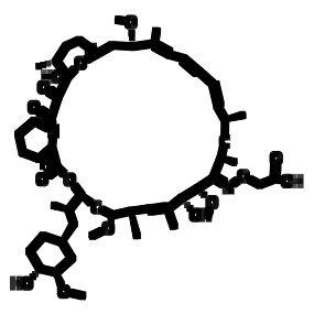 CO[C@H]1C[C@@H]2CC[C@@H](C)[C@@](O)(O2)C(=O)C(=O)N2CCCC[C@H]2C(=O)O[C@H]([C@H](C)C[C@@H]2CC[C@@H](O)[C@H](OC)C2)C[C@@H](OC)[C@H](C)/C=C(\C)[C@@H](O)[C@@H](OC)/C(=N/OCC(=O)O)[C@H](C)C[C@H](C)/C=C/C=C/C=C/1C